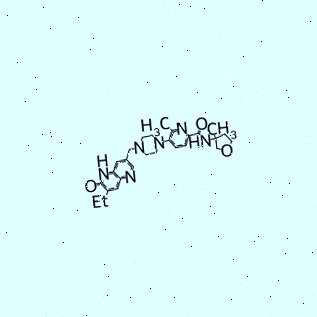 CCc1cc2ncc(CN3CCN(c4ccc(C(=O)NC5(C)CCOC5)nc4C)CC3)cc2[nH]c1=O